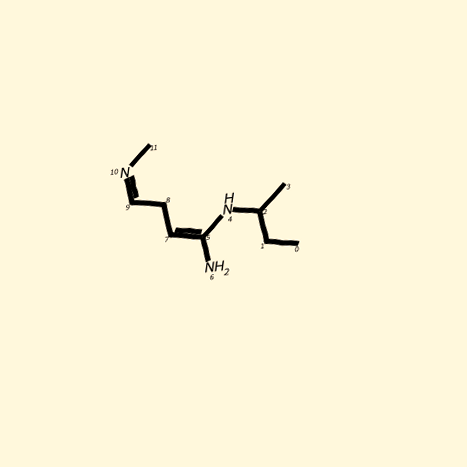 CCC(C)N/C(N)=C\C/C=N\C